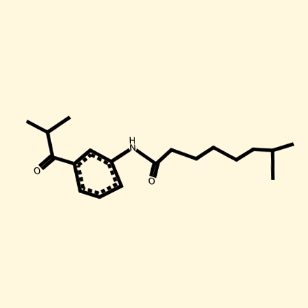 CC(C)CCCCCC(=O)Nc1cccc(C(=O)C(C)C)c1